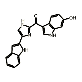 O=C(c1nc(-c2cc3ccccc3[nH]2)c[nH]1)c1c[nH]c2cc(O)ccc12